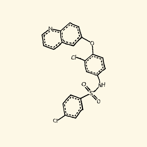 O=S(=O)(Nc1ccc(Oc2ccc3ncccc3c2)c(Cl)c1)c1ccc(Cl)cc1